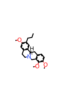 CCCc1cc2c(cc1OC)CCN1Cc3c(ccc(OC)c3OC)C[C@@H]21